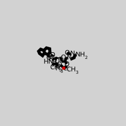 CCCCOC(=O)[C@H](C)NP(=O)(OC[C@H]1O[C@@H](n2ccc(N)nc2=O)C(OC)C1O)Oc1cccc2ccccc12